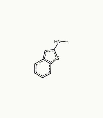 CNc1cc2ccccc2s1